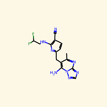 Cc1nc2ncnn2c(N)c1Cc1ccc(C#N)c(NCC(F)F)n1